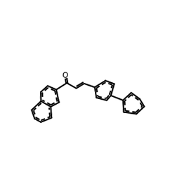 O=C(/C=C/c1ccc(-c2ccccc2)cc1)c1ccc2ccccc2c1